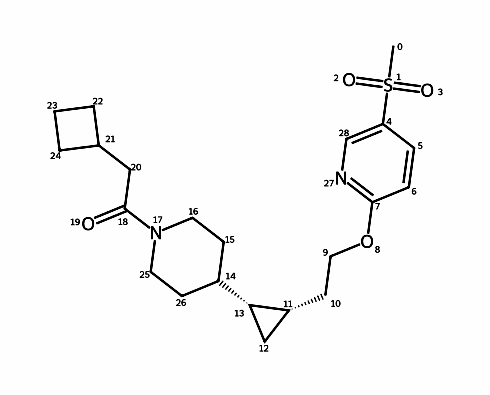 CS(=O)(=O)c1ccc(OCC[C@@H]2C[C@@H]2C2CCN(C(=O)CC3CCC3)CC2)nc1